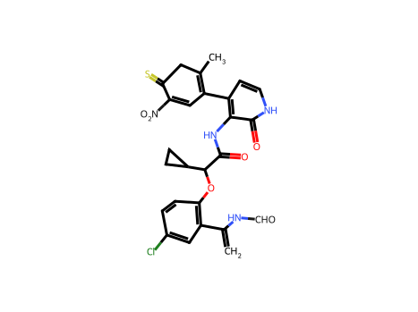 C=C(NC=O)c1cc(Cl)ccc1OC(C(=O)Nc1c(C2=C(C)CC(=S)C([N+](=O)[O-])=C2)cc[nH]c1=O)C1CC1